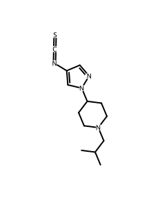 C[C](C)CN1CCC(n2cc(N=C=S)cn2)CC1